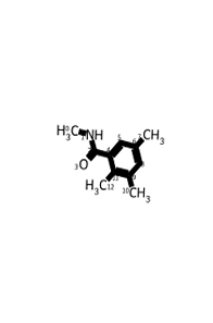 CNC(=O)c1cc(C)cc(C)c1C